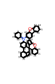 c1ccc(N(c2ccc3c(c2)C2(c4ccccc4Oc4ccccc42)c2cccc4cccc-3c24)c2ccc3c(c2)oc2ccccc23)cc1